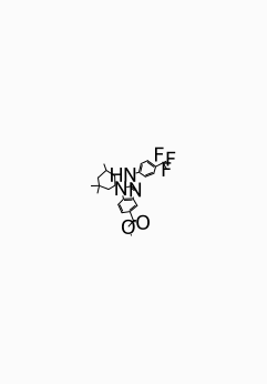 COC(=O)c1ccc2c(c1)nc(Nc1ccc(C(F)(F)F)cc1)n2C1CC(C)CC(C)(C)C1